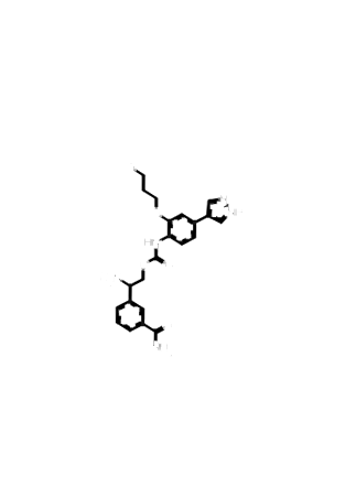 NC(=O)c1cccc(C(N)COC(=O)Nc2ccc(-c3cn[nH]c3)cc2OCCCO)c1